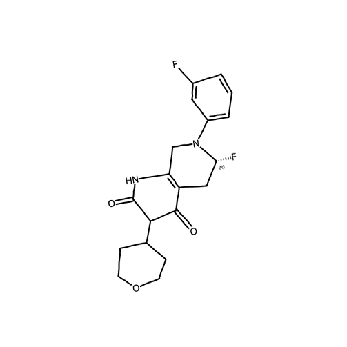 O=C1NC2=C(C[C@@H](F)N(c3cccc(F)c3)C2)C(=O)C1C1CCOCC1